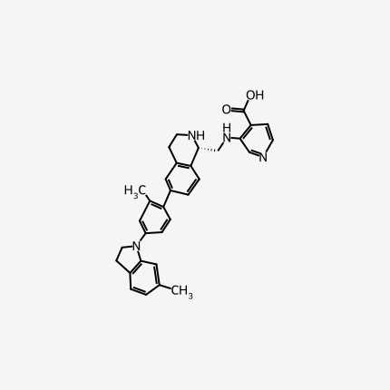 Cc1ccc2c(c1)N(c1ccc(-c3ccc4c(c3)CCN[C@@H]4CNc3cnccc3C(=O)O)c(C)c1)CC2